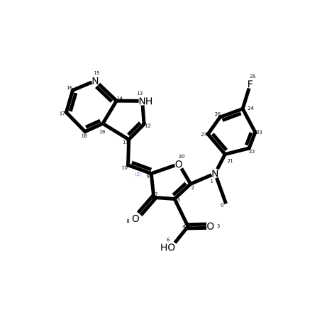 CN(C1=C(C(=O)O)C(=O)/C(=C/c2c[nH]c3ncccc23)O1)c1ccc(F)cc1